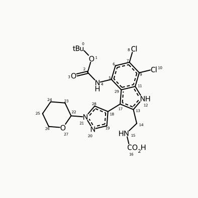 CC(C)(C)OC(=O)Nc1cc(Cl)c(Cl)c2[nH]c(CNC(=O)O)c(-c3cnn(C4CCCCO4)c3)c12